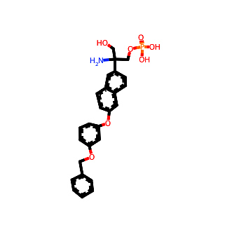 NC(CO)(COP(=O)(O)O)c1ccc2cc(Oc3cccc(OCc4ccccc4)c3)ccc2c1